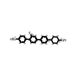 CCCCc1ccc(-c2ccc(-c3ccc(C4CCC(CCC)CC4)cc3)cc2F)cc1